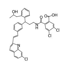 CC(O)Cc1ccccc1C(CCNC(=O)c1cc(Cl)c(Cl)cc1C(=O)O)c1cccc(C=Cc2ccc3ccc(Cl)cc3n2)c1